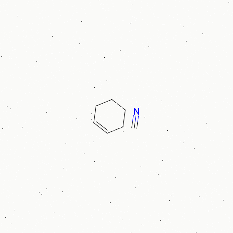 C#N.C1=CCCCC1